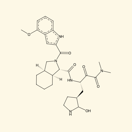 COc1cccc2[nH]c(C(=O)N3C[C@@H]4CCCC[C@@H]4[C@H]3C(=O)N[C@@H](C[C@@H]3CCNC3O)C(=O)C(=O)N(C)C)cc12